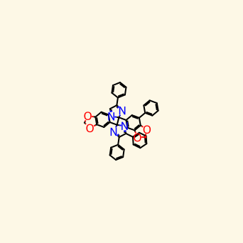 C1=NC(c2cc3c(c(-c4ccccc4)c2)OCO3)(C2(c3ccc4c(c3)OCO4)N=C(c3ccccc3)C(c3ccccc3)=N2)N=C1c1ccccc1